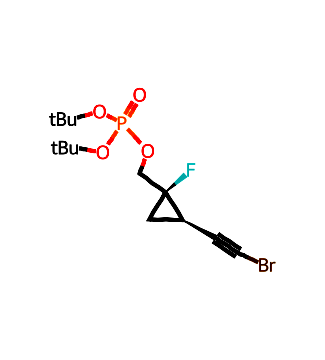 CC(C)(C)OP(=O)(OC[C@@]1(F)C[C@@H]1C#CBr)OC(C)(C)C